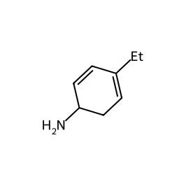 CCC1=CCC(N)C=C1